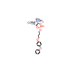 C[N+](C)(C)C([O-])[C@@H](CC(=O)O)OP(O)OCCCCOc1ccc(Oc2ccccc2)cc1